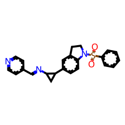 O=S(=O)(c1ccccc1)N1CCc2cc(C3CC3/N=C/c3ccncc3)ccc21